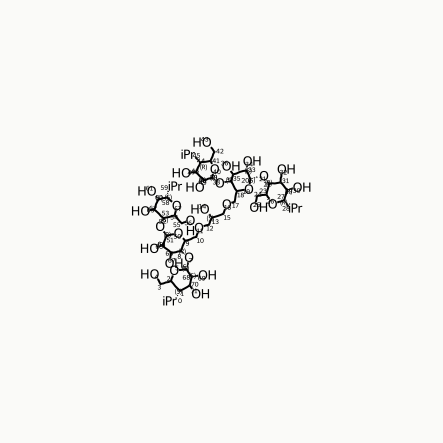 CC(C)[C@@H]1C(CO)O[C@@H](O[C@H]2C(COC[C@@H](O)COCC3O[C@@H](O[C@H]4C(CO)O[C@H](C(C)C)[C@H](O)C4O)[C@@H](O)C(O)[C@@H]3O[C@H]3OC(CO)[C@H](C(C)C)C(O)[C@H]3O)O[C@H](O[C@@H]3C(CO)O[C@@H](C(C)C)[C@@H](O)C3O)[C@H](O)C2O)[C@@H](O)C1O